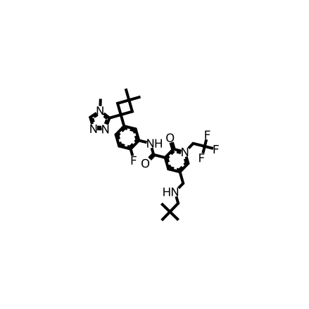 Cn1cnnc1C1(c2ccc(F)c(NC(=O)c3cc(CNCC(C)(C)C)cn(CC(F)(F)F)c3=O)c2)CC(C)(C)C1